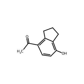 CC(=O)c1ccc(O)c2c1CCC2